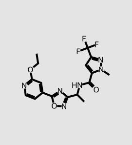 CCOc1cc(-c2nc(C(C)NC(=O)c3cc(C(F)(F)F)nn3C)no2)ccn1